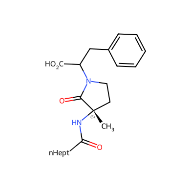 CCCCCCCC(=O)N[C@@]1(C)CCN(C(Cc2ccccc2)C(=O)O)C1=O